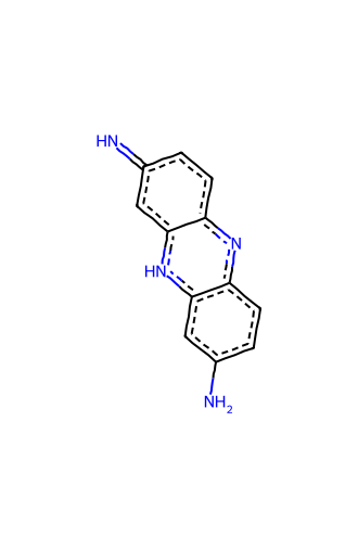 N=c1ccc2nc3ccc(N)cc3[nH]c-2c1